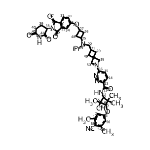 Cc1cc(OC2C(C)(C)C(NC(=O)c3ccc(N4CC5(CC(CN(C(C)C)C6CC(Oc7ccc8c(c7)C(=O)N([C@@H]7CCC(=O)NC7=O)C8=O)C6)C5)C4)nn3)C2(C)C)cc(C)c1C#N